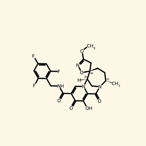 COC1=NO[C@]2(CC[C@H](C)N3C[C@H]2n2cc(C(=O)NCc4c(F)cc(F)cc4F)c(=O)c(O)c2C3=O)C1